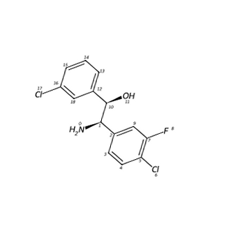 N[C@H](c1ccc(Cl)c(F)c1)[C@H](O)c1cccc(Cl)c1